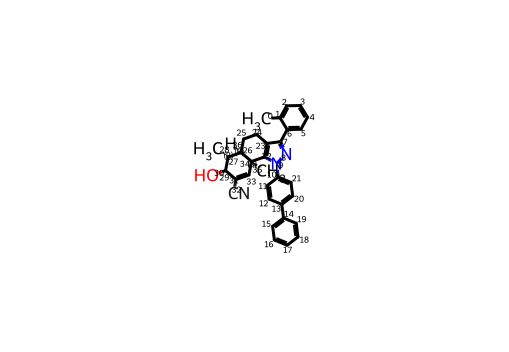 Cc1ccccc1-c1nn(-c2ccc(-c3ccccc3)cc2)c2c1CC[C@@H]1[C@@H](C)C(O)C(C#N)=C[C@@]21C